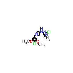 CCOc1cc(CN2CCC(Nc3cc(C)nc(Cl)n3)CC2)cc(OCC)c1Cl